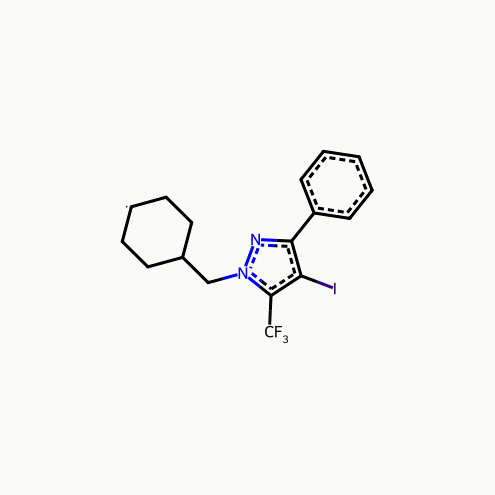 FC(F)(F)c1c(I)c(-c2ccccc2)nn1CC1CC[CH]CC1